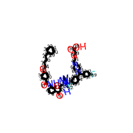 O=C(Nc1cccc2c(=O)cc(-c3nnn[nH]3)oc12)c1ccc(OCCCCc2ccccc2)cc1.O=C(O)COCCN1CCN(C(c2ccc(F)cc2)c2ccc(F)cc2)CC1